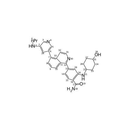 CCCNc1cncc(-c2cccc3c(-c4ccc(C(N)=O)c(NC5CCC(O)CC5)c4)nccc23)c1